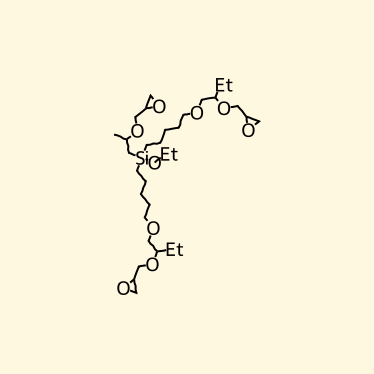 CCO[Si](CCCCCOCC(CC)OCC1CO1)(CCCCCOCC(CC)OCC1CO1)CC(C)OCC1CO1